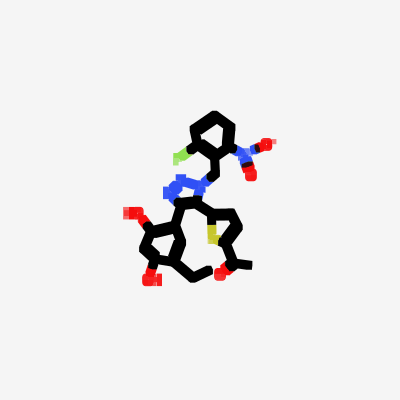 CCc1cc(-c2nnn(Cc3c(F)cccc3[N+](=O)[O-])c2-c2ccc(C(C)=O)s2)c(O)cc1O